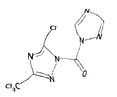 O=C(n1cncn1)n1nc(C(Cl)(Cl)Cl)nc1Cl